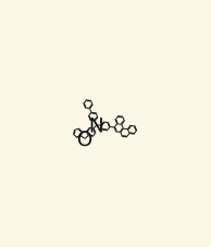 c1ccc(-c2ccc(N(c3ccc(-c4cc5ccc6ccccc6c5c5ccccc45)cc3)c3ccc4oc5ccccc5c4c3)cc2)cc1